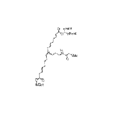 CCCCCCCCOC(=O)CCCCCCCN(CCCCCCCC(=O)OC(CCCCC)CCCCCC)CCCNC(=O)CSC